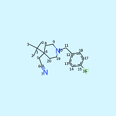 CC(C)(C)C1(CC#N)CCN(Cc2ccc(F)cc2)CC1